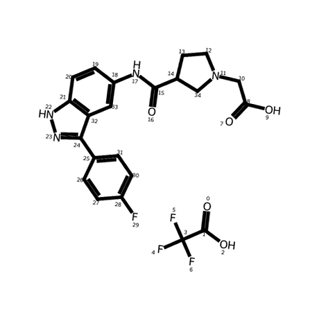 O=C(O)C(F)(F)F.O=C(O)CN1CCC(C(=O)Nc2ccc3[nH]nc(-c4ccc(F)cc4)c3c2)C1